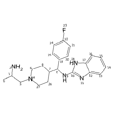 CC(N)CN1CCC(C(Nc2nc3ccccc3[nH]2)c2ccc(F)cc2)CC1